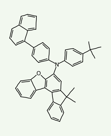 CC(C)(C)c1ccc(N(c2ccc(-c3cccc4ccccc34)cc2)c2cc3c(c4c2oc2ccccc24)-c2ccccc2C3(C)C)cc1